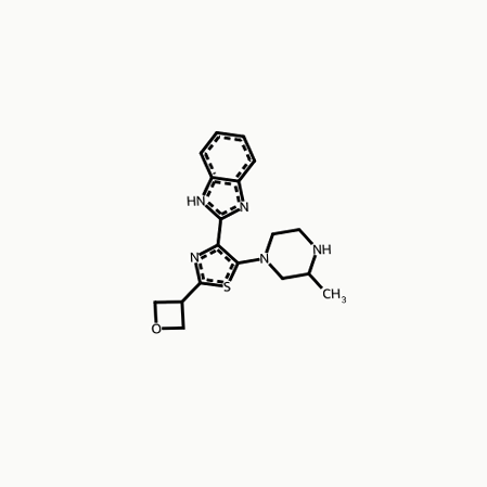 CC1CN(c2sc(C3COC3)nc2-c2nc3ccccc3[nH]2)CCN1